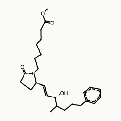 COC(=O)CCCCCCN1C(=O)CC[C@@H]1/C=C/[C@H](O)C(C)CCCc1ccccc1